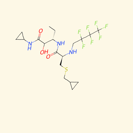 CC[C@H](NC(=O)[C@H](CSCC1CC1)NCC(F)(F)C(F)(F)C(F)(F)F)C(O)C(=O)NC1CC1